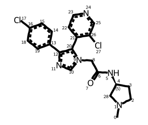 CN1CC[C@H](NC(=O)Cn2cnc(-c3ccc(Cl)cc3)c2-c2ccncc2Cl)C1